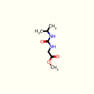 COC(=O)CNC(=O)NC(C)C